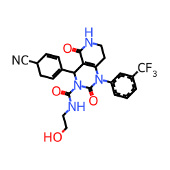 N#CC1C=CC(C2C3=C(CCNC3=O)N(c3cccc(C(F)(F)F)c3)C(=O)N2C(=O)NCCO)=CC1